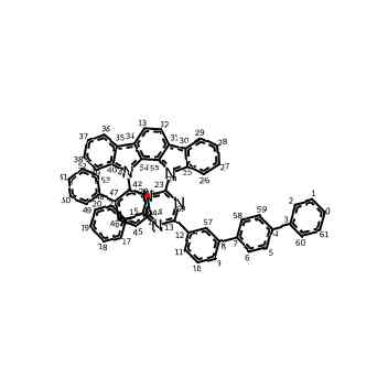 c1ccc(-c2ccc(-c3cccc(-c4nc(-c5ccccc5)nc(-n5c6ccccc6c6ccc7c8ccccc8n(-c8ccccc8-c8ccccc8)c7c65)n4)c3)cc2)cc1